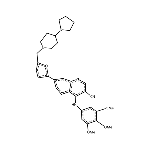 COc1cc(Nc2c(C#N)cnc3cc(-c4ccc(CN5CCC(N6CCCC6)CC5)o4)ccc23)cc(OC)c1OC